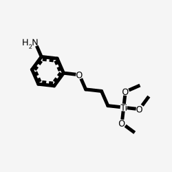 C[O][Ti]([CH2]CCOc1cccc(N)c1)([O]C)[O]C